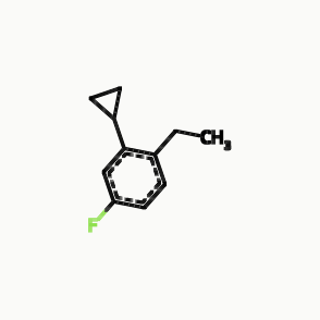 CCc1ccc(F)cc1C1CC1